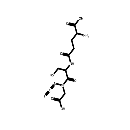 NC(CCC(=O)NC(CS)C(=O)N(CC(=O)O)N=C=S)C(=O)O